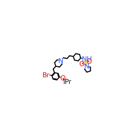 CC(C)Oc1ccc(Br)c(CC2CCN(CCCC3CCC(NS(=O)(=O)N4CCCC4)CC3)CC2)c1